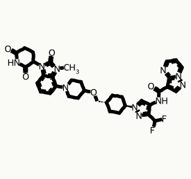 Cn1c(=O)n(C2CCC(=O)NC2=O)c2cccc(N3CCC(OC[C@H]4CC[C@H](n5cc(NC(=O)c6cnn7cccnc67)c(C(F)F)n5)CC4)CC3)c21